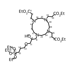 CCOC(=O)CCN1CCCN(CC(O)COCCC[Si](OCC)(OCC)OCC)CCN(CCC(=O)OCC)CCN(CCC(=O)OCC)CC1